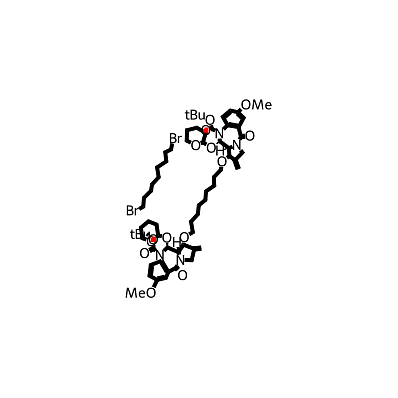 BrCCCCCCCCCBr.C=C1CN2C(=O)c3cc(OC)ccc3N(C(=O)OC(C)(C)C)[C@@H](OC3CCCCO3)[C@@H]2C1OCCCCCCCCCOC1C(=C)CN2C(=O)c3cc(OC)ccc3N(C(=O)OC(C)(C)C)[C@@H](OC3CCCCO3)[C@H]12